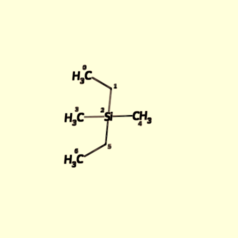 CC[Si](C)(C)CC